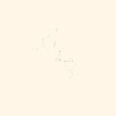 CC(C)S(=O)(=O)c1cnc(NC(=O)c2cc(O)cc(Cl)c2)s1